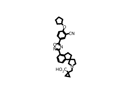 N#Cc1cc(-c2nc(-c3cccc4c3CCC43CCN(CC4(C(=O)O)CC4)C3)no2)ccc1OC1CCCC1